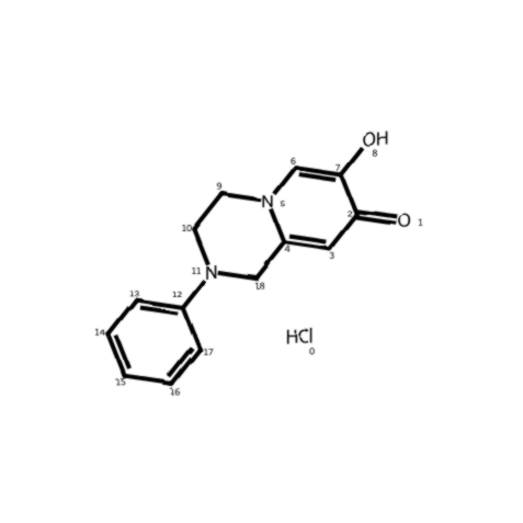 Cl.O=c1cc2n(cc1O)CCN(c1ccccc1)C2